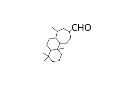 CC1CC(C=O)CCC2C1CCC1C(C)(C)CCCC21C